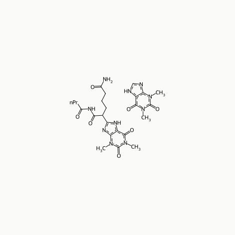 CCCC(=O)NC(=O)C(CCCC(N)=O)c1nc2c([nH]1)c(=O)n(C)c(=O)n2C.Cn1c(=O)c2[nH]cnc2n(C)c1=O